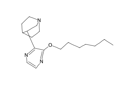 CCCCCCCOc1nccnc1C1CN2CCC1CC2